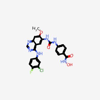 COc1cc2ncnc(Nc3ccc(F)c(Cl)c3)c2cc1NC(=O)Nc1ccc(C(=O)NO)cc1